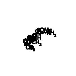 COC(=O)[C@H](CCCCN)NC(=O)c1ccc2c(=O)n(N3C=C(c4ccccc4)n4c(C)cc5c4C(=CCC5)C3=O)c(C)nc2c1